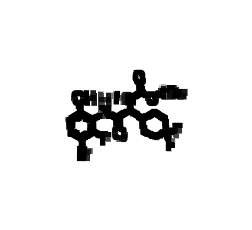 CC(C)(C)OC(=O)NC(C(=O)Nc1c(O)ccc(Br)c1F)C1CCC(F)(F)CC1